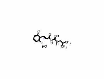 CC(C)CNC(=N)NC(=O)/C=C/c1c(Cl)cccc1Cl.Cl